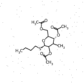 CCCCS[C@H]1OC(COC(C)=O)[C@H](OC(C)=O)C(C)C1OC(C)=O